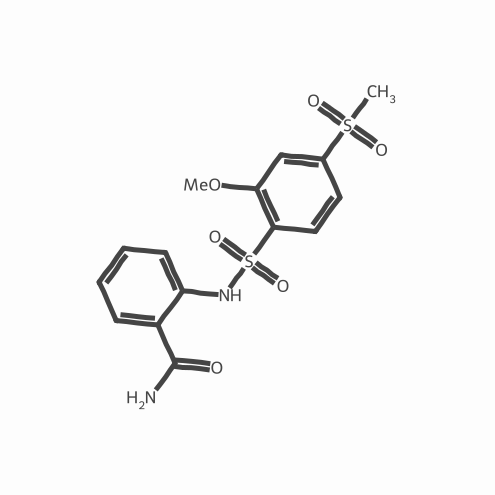 COc1cc(S(C)(=O)=O)ccc1S(=O)(=O)Nc1ccccc1C(N)=O